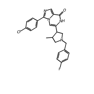 CC1CN(Cc2ccc(F)cc2)CC1c1cn2c(-c3ccc(Cl)cc3)ncc2c(=O)[nH]1